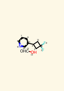 FC1(F)CC(c2cccnc2)C1.O=CO